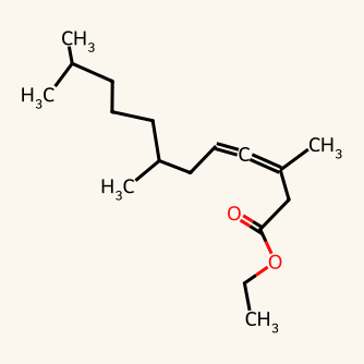 CCOC(=O)CC(C)=C=CCC(C)CCCC(C)C